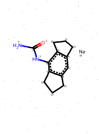 NC(=O)Nc1c2c(cc3c1CCC3)CCC2.[Na]